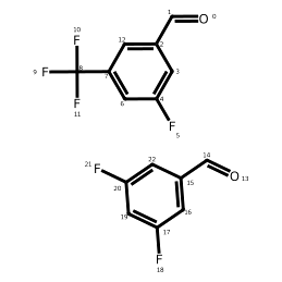 O=Cc1cc(F)cc(C(F)(F)F)c1.O=Cc1cc(F)cc(F)c1